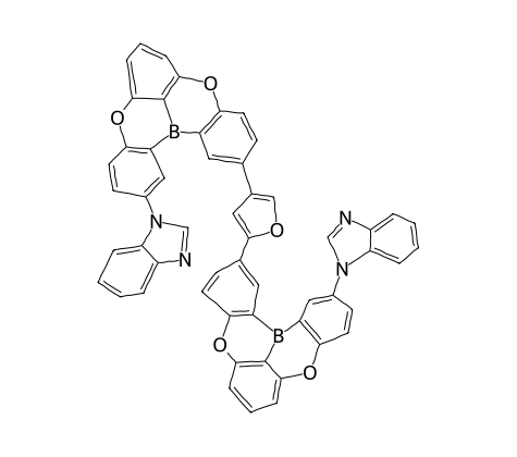 c1cc2c3c(c1)Oc1ccc(-n4cnc5ccccc54)cc1B3c1cc(-c3coc(-c4ccc5c(c4)B4c6cc(-n7cnc8ccccc87)ccc6Oc6cccc(c64)O5)c3)ccc1O2